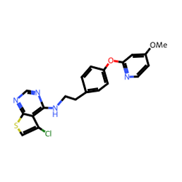 COc1ccnc(Oc2ccc(CCNc3ncnc4scc(Cl)c34)cc2)c1